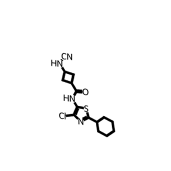 N#CNC1CC(C(=O)Nc2sc(C3CCCCC3)nc2Cl)C1